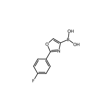 OB(O)c1coc(-c2ccc(F)cc2)n1